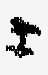 Cc1n[nH]c(C)c1CCCOc1cc(OCCCc2cn(CCOCCOCCOCCC(=O)NC(CCCNC(=N)NS(=O)(=O)c3c(C)c(C)c4c(c3C)CC(C)(C)O4)C(=O)NCC(=O)NC(CCCCNC(=O)CC(C)(C)C)C(=O)Nc3ccc4c(C)cc(=O)oc4c3)nn2)cc(C(=O)O)c1